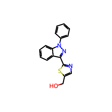 OCc1cnc(-c2nn(-c3ccccc3)c3ccccc23)s1